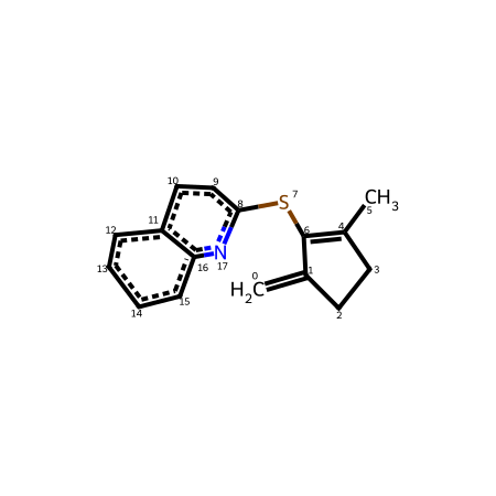 C=C1CCC(C)=C1Sc1ccc2ccccc2n1